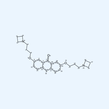 O=c1c2cc(OCCCN3CCC3)ccc2sc2ccc(OCCCN3CCC3)cc12